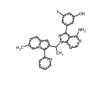 Cc1ccc2cc(C(C)n3nc(-c4cc(O)cc(F)c4)c4c(N)ncnc43)c(-c3ccccn3)n2c1